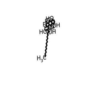 CCCCCCCCCCCCC/C=C/C(O)C(CO)Nc1c(F)c(F)c(F)c2c1C(=O)c1c(O)ccc(O)c1C2=O